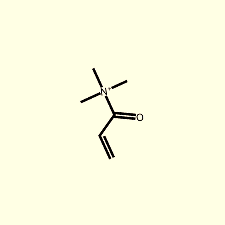 C=CC(=O)[N+](C)(C)C